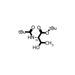 CC(O)[C@H](NC(=O)C(C)(C)C)C(=O)OC(C)(C)C